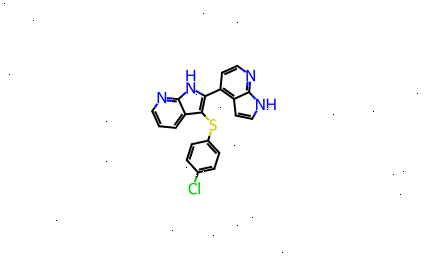 Clc1ccc(Sc2c(-c3ccnc4[nH]ccc34)[nH]c3ncccc23)cc1